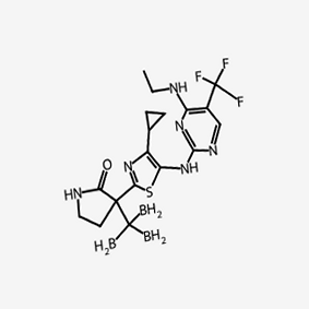 BC(B)(B)C1(c2nc(C3CC3)c(Nc3ncc(C(F)(F)F)c(NCC)n3)s2)CCNC1=O